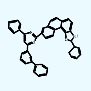 C1=CCC(C2Nc3ccc4ccc5cc(-c6nc(-c7ccccc7)cc(-c7cccc(-c8ccccc8)c7)n6)ccc5c4c3O2)C=C1